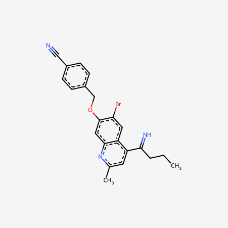 CCCC(=N)c1cc(C)nc2cc(OCc3ccc(C#N)cc3)c(Br)cc12